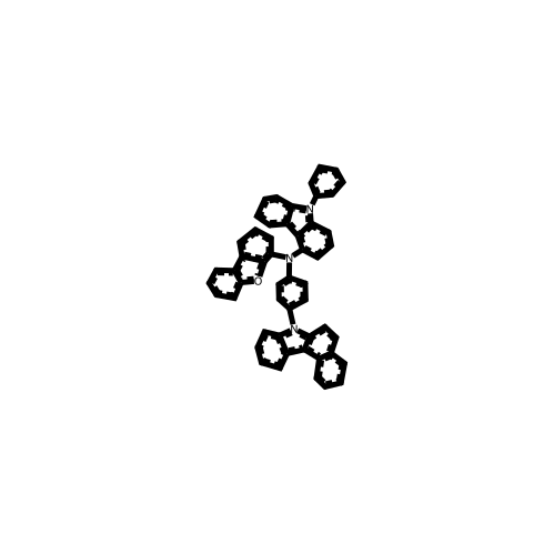 c1ccc(-n2c3ccccc3c3c(N(c4ccc(-n5c6ccccc6c6c7ccccc7ccc65)cc4)c4cccc5c4oc4ccccc45)cccc32)cc1